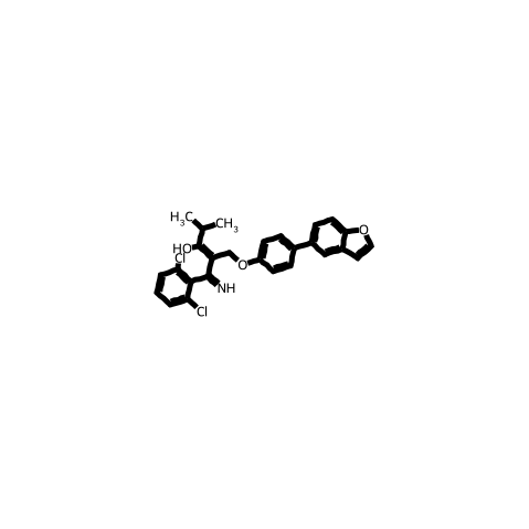 CC(C)/C(O)=C(\COc1ccc(-c2ccc3occc3c2)cc1)C(=N)c1c(Cl)cccc1Cl